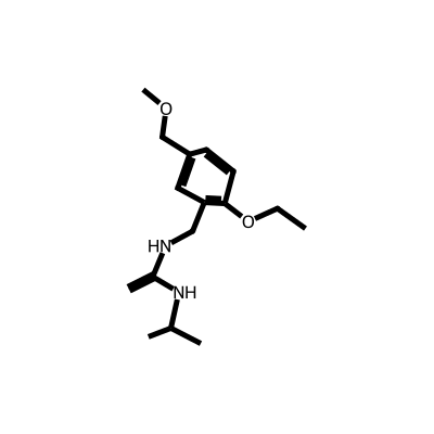 C=C(NCc1cc(COC)ccc1OCC)NC(C)C